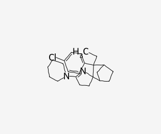 CCC1(c2ccc(Cl)cc2)C2CCC(C2)C12CCC(N1CCCCC1)=N2